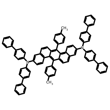 Cc1ccc(-c2c3ccc4cc(N(c5ccc(-c6ccccc6)cc5)c5ccc(-c6ccccc6)cc5)ccc4c3c(-c3ccc(C)cc3)c3ccc4cc(N(c5ccc(-c6ccccc6)cc5)c5ccc(-c6ccccc6)cc5)ccc4c23)cc1